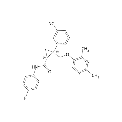 Cc1ncc(OC[C@@]2(c3cccc(C#N)c3)C[C@H]2C(=O)Nc2ccc(F)cc2)c(C)n1